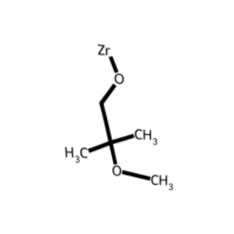 COC(C)(C)C[O][Zr]